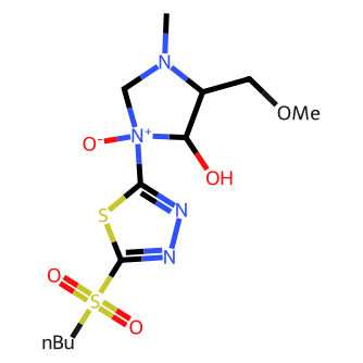 CCCCS(=O)(=O)c1nnc([N+]2([O-])CN(C)C(COC)C2O)s1